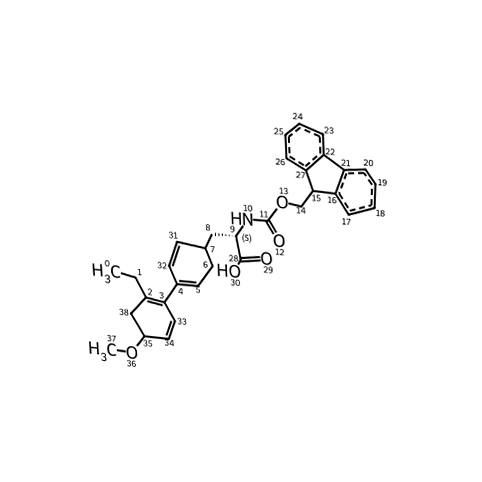 CCC1=C(C2=CCC(C[C@H](NC(=O)OCC3c4ccccc4-c4ccccc43)C(=O)O)C=C2)C=CC(OC)C1